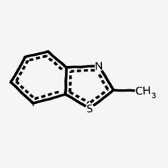 Cc1nc2ccc[c]c2s1